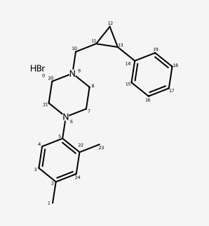 Br.Cc1ccc(N2CCN(CC3CC3c3ccccc3)CC2)c(C)c1